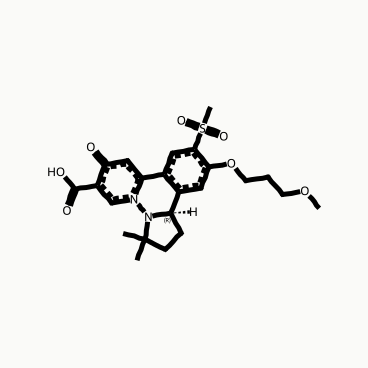 COCCCOc1cc2c(cc1S(C)(=O)=O)-c1cc(=O)c(C(=O)O)cn1N1[C@@H]2CCC1(C)C